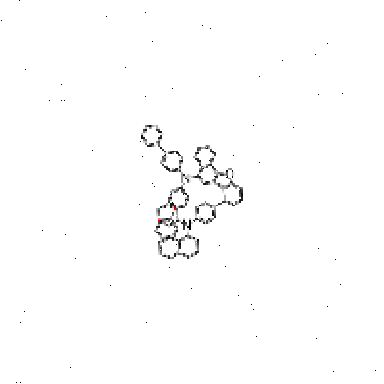 c1ccc(-c2ccc(N(c3ccc(-c4ccccc4)cc3)c3cc4c(oc5cccc(-c6ccc(N(c7ccccc7)c7cccc8ccccc78)cc6)c54)c4ccccc34)cc2)cc1